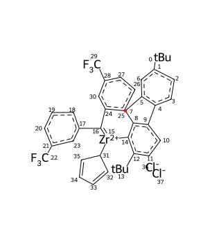 CC(C)(C)c1ccc2c(c1)Cc1c-2ccc(C(C)(C)C)[c]1[Zr+2](=[C](c1cccc(C(F)(F)F)c1)c1cccc(C(F)(F)F)c1)[CH]1C=CC=C1.[Cl-].[Cl-]